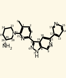 Cc1ccc(-c2n[nH]c3cnc(-c4cccnc4)cc23)nc1N1CCC[C@@H](N)C1